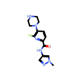 Cn1cc(NC(=O)c2ccc(N3CCNCC3)c(F)n2)cn1